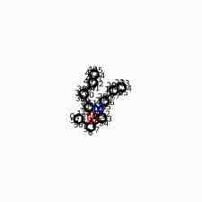 c1ccc(-c2cccc3c2oc2c(N(c4ccc(-c5ccc6ccccc6c5)cc4)c4cccc(-c5cccc(-c6ccc7ccccc7c6)c5)c4)cccc23)cc1